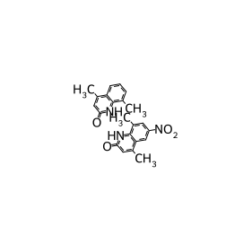 Cc1cc(=O)[nH]c2c(C)cc([N+](=O)[O-])cc12.Cc1cc(=O)[nH]c2c(C)cccc12